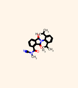 CC(C)c1cccc(C(C)C)c1N1C(=O)c2cccc(C(=O)N(C)C#N)c2C1=O